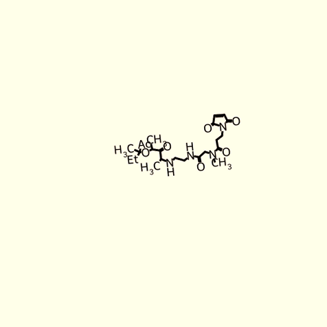 CCC(C)(OC(C)C(=O)C(C)NCCNC(=O)CN(C)C(=O)CCN1C(=O)C=CC1=O)C(C)=O